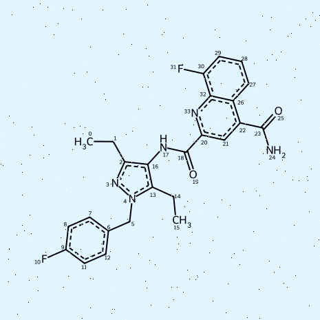 CCc1nn(Cc2ccc(F)cc2)c(CC)c1NC(=O)c1cc(C(N)=O)c2cccc(F)c2n1